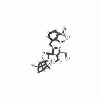 COc1c(CN2O[C@@H](CO)[C@@H]([C@H](C)O)C2C(=O)N[C@H]2C[C@H]3CC([C@@H]2C)C3(C)C)cccc1B(O)O